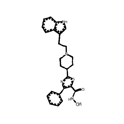 O=C(NO)c1sc(C2CCN(CCc3c[nH]c4ccccc34)CC2)nc1-c1ccccc1